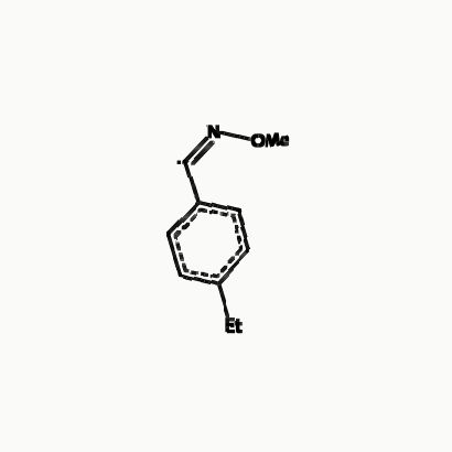 CCc1ccc(/[C]=N\OC)cc1